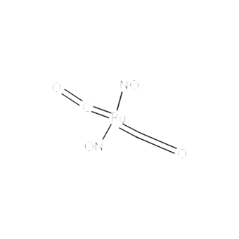 O=[C]=[Ru](=[C]=O)([N]=O)[N]=O